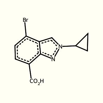 O=C(O)c1ccc(Br)c2cn(C3CC3)nc12